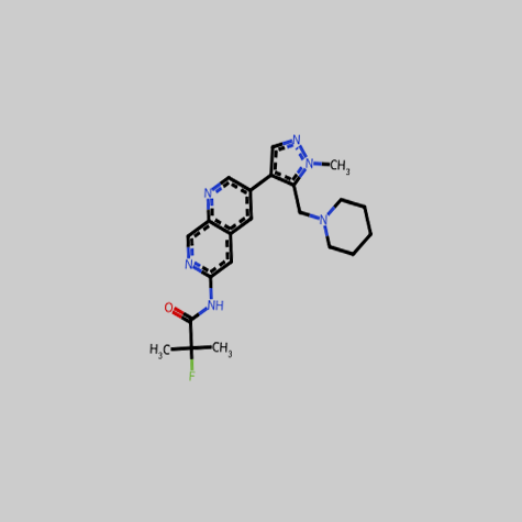 Cn1ncc(-c2cnc3cnc(NC(=O)C(C)(C)F)cc3c2)c1CN1CCCCC1